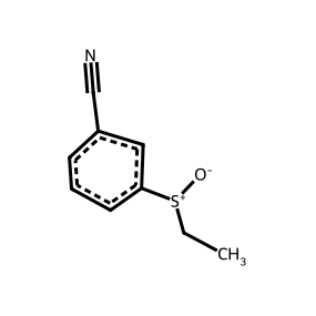 CC[S+]([O-])c1cccc(C#N)c1